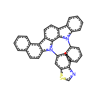 c1ccc(-n2c3ccccc3c3ccc4c5c6ccccc6ccc5n(-c5ccc6ncsc6c5)c4c32)cc1